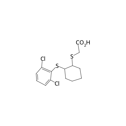 O=C(O)CSC1CCCCC1Sc1c(Cl)cccc1Cl